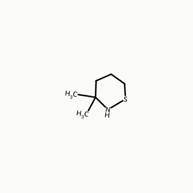 CC1(C)CCCSN1